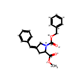 COC(=O)C1C/C(=C/c2ccccc2)CN1C(=O)OCc1ccccc1